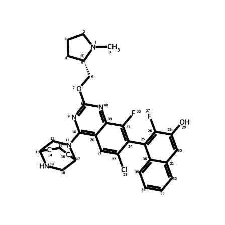 CN1CCC[C@H]1COc1nc(N2CC3CCCC2CN3)c2cc(Cl)c(-c3c(F)c(O)cc4ccccc34)c(F)c2n1